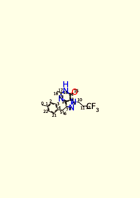 Cc1ccc(C(C)c2nn(CCC(F)(F)F)c3c(=O)[nH]c(C)nc23)cc1